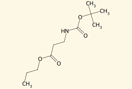 CCCOC(=O)CCNC(=O)OC(C)(C)C